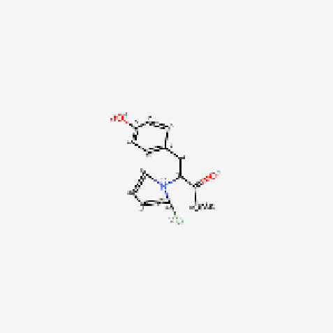 COC(=O)C(Cc1ccc(O)cc1)n1cccc1Cl